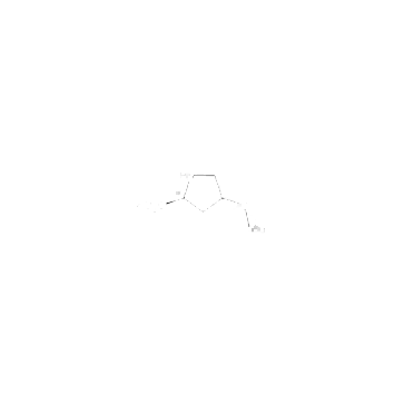 CCCCOC1CN[C@H](C(=O)O)C1